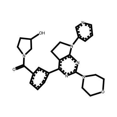 O=C(c1cccc(-c2nc(N3CCOCC3)nc3c2CCN3c2cccnc2)c1)N1CCC(O)C1